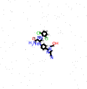 N#Cc1cn(CCO)c(-c2ccc(Nc3cn(-c4c(Cl)cccc4Cl)nc3C(N)=O)cc2)n1